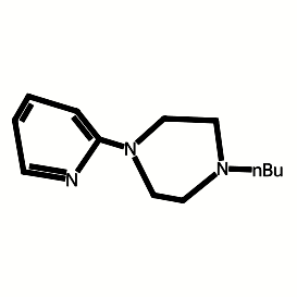 CCCCN1CCN(c2ccccn2)CC1